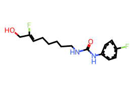 O=C(NCCCCCC=C(F)CO)Nc1ccc(F)cc1